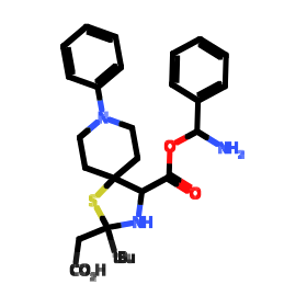 CC(C)(C)C1(CC(=O)O)NC(C(=O)OC(N)c2ccccc2)C2(CCN(c3ccccc3)CC2)S1